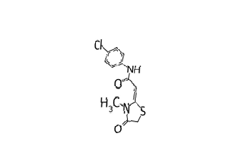 CN1C(=O)CSC1=CC(=O)Nc1ccc(Cl)cc1